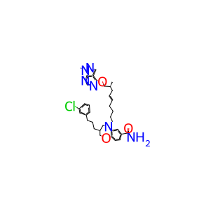 C[C@@H](C/C=C/CCCCN1CC(CCCc2cccc(Cl)c2)COc2ccc(C(N)=O)cc21)COc1ncnc2c1cnn2C